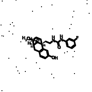 C[C@H]1[C@H]2Cc3ccc(O)cc3[C@]1(CCNC(=O)Nc1cccc(F)c1)CCN2C